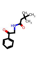 CC(C)(C)CC(=O)NCC(=O)c1ccccc1